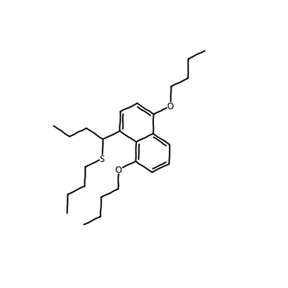 CCCCOc1ccc(C(CCC)SCCCC)c2c(OCCCC)cccc12